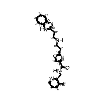 O=C(NCc1ncccc1F)c1coc(CCNCCc2nc3ccccc3[nH]2)n1